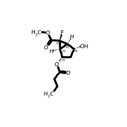 CCCC(=O)O[C@H]1C[C@@H](O)[C@H]2[C@@H]1[C@]2(F)C(=O)OC